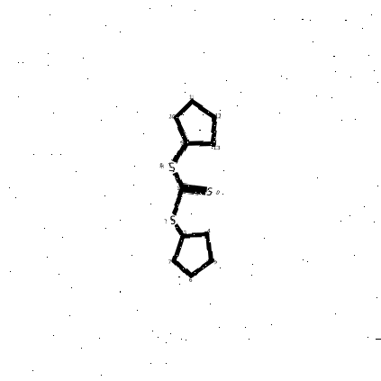 S=C(SC1CCCC1)SC1CCCC1